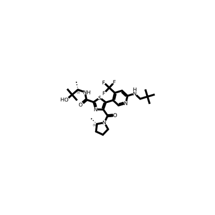 C[C@H](NC(=O)c1nc(C(=O)N2CCC[C@@H]2C)c(-c2cnc(NCC(C)(C)C)cc2C(F)(F)F)s1)C(C)(C)O